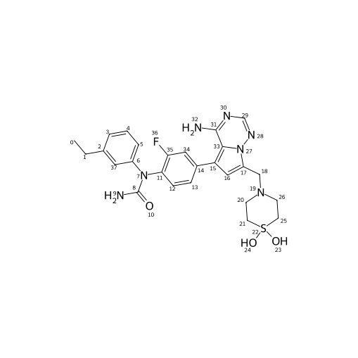 CCc1cccc(N(C(N)=O)c2ccc(-c3cc(CN4CCS(O)(O)CC4)n4ncnc(N)c34)cc2F)c1